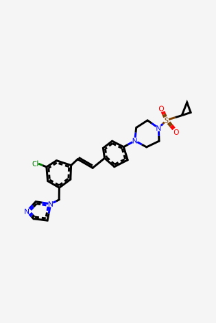 O=S(=O)(C1CC1)N1CCN(c2ccc(/C=C/c3cc(Cl)cc(Cn4ccnc4)c3)cc2)CC1